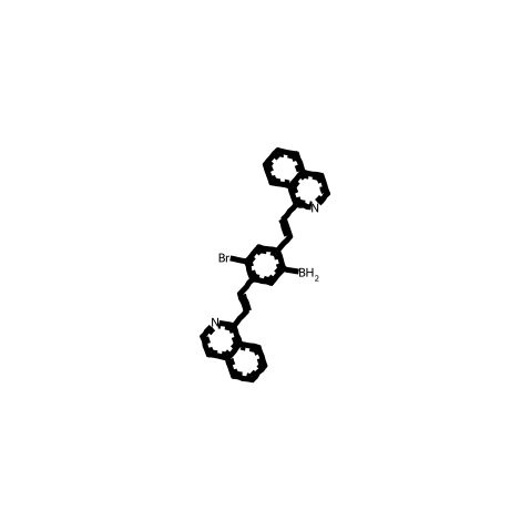 Bc1cc(/C=C/c2nccc3ccccc23)c(Br)cc1/C=C/c1nccc2ccccc12